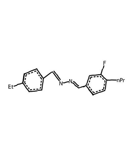 CCCc1ccc(C=NN=Cc2ccc(CC)cc2)cc1F